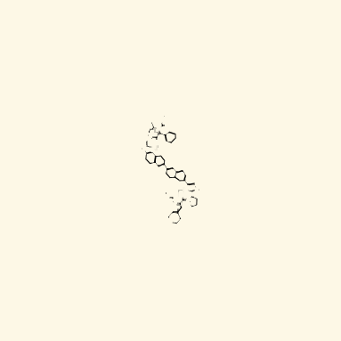 CCCN(Cc1nc2ccc3cc(-c4ccc5cc(-c6cnc([C@@H]7CCCN7C(=O)[C@H](C=C7CCOCC7)NC(=O)OC)[nH]6)ccc5c4)ccc3c2[nH]1)C(=O)[C@H](NC(=O)OC)c1ccccc1